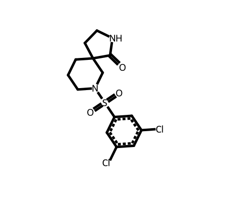 O=C1NCCC12CCCN(S(=O)(=O)c1cc(Cl)cc(Cl)c1)C2